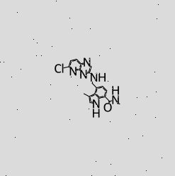 CNC(=O)c1ccc(CNc2cnc3ccc(Cl)nc3n2)c2c(C)c[nH]c12